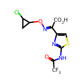 O=C(O)C(=NOC1CC1Cl)c1csc(NC(=O)C(F)(F)F)n1